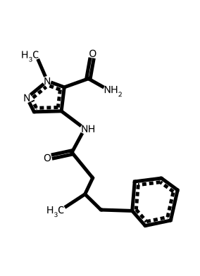 CC(CC(=O)Nc1cnn(C)c1C(N)=O)Cc1ccccc1